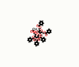 CC(=O)OC[C@@H]1O[C@@H](O[C@H]2[C@H](O)[C@@H](COC(=O)c3ccccc3)O[C@@H]2COC(=O)c2ccccc2)[C@H](OC(=O)c2ccccc2)[C@@H](OC(=O)c2ccccc2)[C@@H]1OC(=O)c1ccccc1